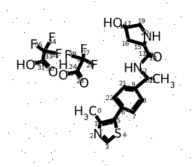 Cc1ncsc1-c1ccc([C@H](C)NC(=O)C2CC(O)CN2)cc1.O=C(O)C(F)(F)F.O=C(O)C(F)(F)F